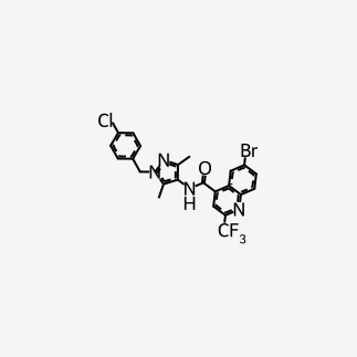 Cc1nn(Cc2ccc(Cl)cc2)c(C)c1NC(=O)c1cc(C(F)(F)F)nc2ccc(Br)cc12